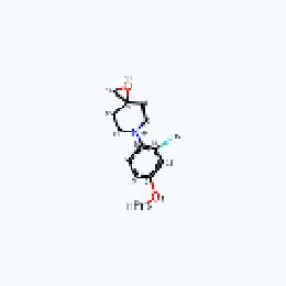 CCCOc1ccc(N2CCC3(CC2)CO3)c(F)c1